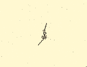 CCCCCCCCOc1ccc(-c2ncc(CCCCCCC)c(F)n2)cc1